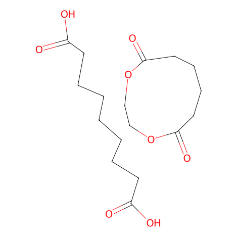 O=C(O)CCCCCCCC(=O)O.O=C1CCCCC(=O)OCCO1